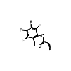 C=CC(=O)Oc1c(F)c(F)c(F)c(F)c1F